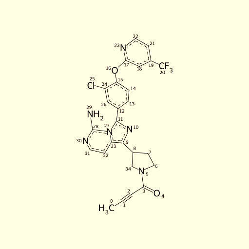 CC#CC(=O)N1CCC(c2nc(-c3ccc(Oc4cc(C(F)(F)F)ccn4)c(Cl)c3)n3c(N)nccc23)C1